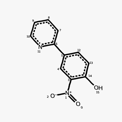 O=[N+]([O-])c1cc(-c2ccccn2)ccc1O